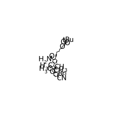 CC(C)(C)OC(=O)COCCCCC#Cc1ccc(C2C(C)(C)C(Oc3ccc(C#N)c(Br)c3)C2(C)C)cc1C(N)=O